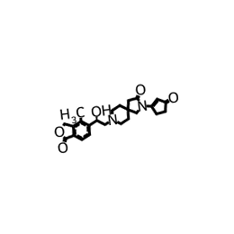 Cc1c([C@@H](O)CN2CCC3(CC2)CC(=O)N(C2=CC(=O)CC2)C3)ccc2c1COC2=O